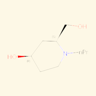 CCCN1CC[C@@H](O)C[C@H]1CO